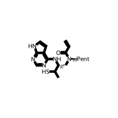 C=CC(=O)N(C[C@@H](Nc1ncnc2[nH]ccc12)C(C)S)[C@H](C)CCC